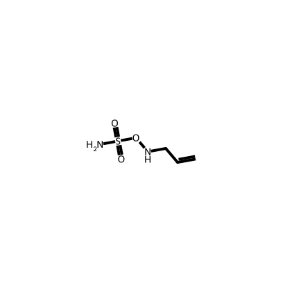 C=CCNOS(N)(=O)=O